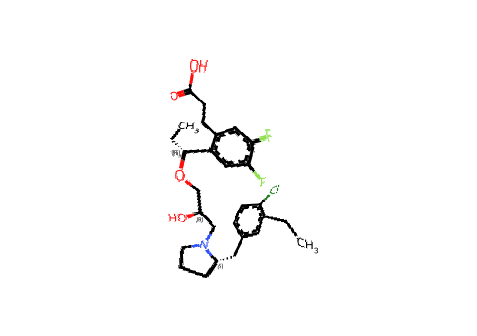 CCc1cc(C[C@@H]2CCCN2C[C@@H](O)CO[C@H](CC)c2cc(F)c(F)cc2CCC(=O)O)ccc1Cl